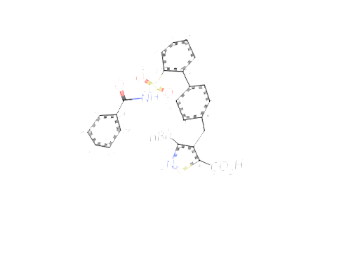 CCCCc1nsc(C(=O)O)c1Cc1ccc(-c2ccccc2S(=O)(=O)NC(=O)c2ccccc2)cc1